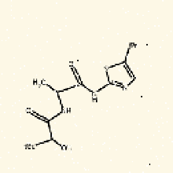 CC(NC(=O)C(O)C(C)(C)C)C(=O)Nc1ncc(C(C)C)s1